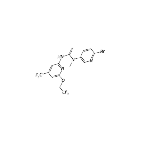 C=C(Nc1cc(C(F)(F)F)cc(OCC(F)(F)F)n1)N(C)c1ccc(Br)nc1